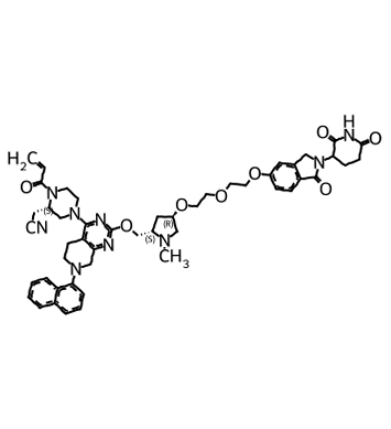 C=CC(=O)N1CCN(c2nc(OC[C@@H]3C[C@@H](OCCOCCOc4ccc5c(c4)CN(C4CCC(=O)NC4=O)C5=O)CN3C)nc3c2CCN(c2cccc4ccccc24)C3)C[C@@H]1CC#N